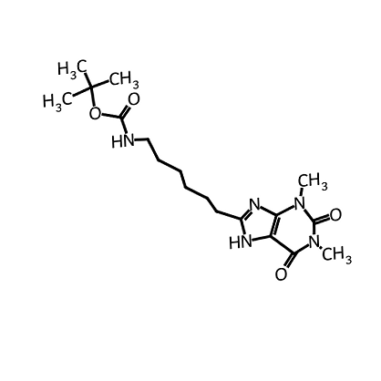 Cn1c(=O)c2[nH]c(CCCCCCNC(=O)OC(C)(C)C)nc2n(C)c1=O